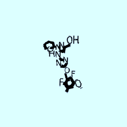 COc1cc(C)c(F)c(COc2cnc(Nc3cc(CO)nn3C3CCCCO3)nc2)c1F